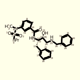 CCCS(=O)(=O)N(C)c1cccc(C(=O)N[C@@H](Cc2ccccc2)[C@H](O)CNCc2ccccc2)c1